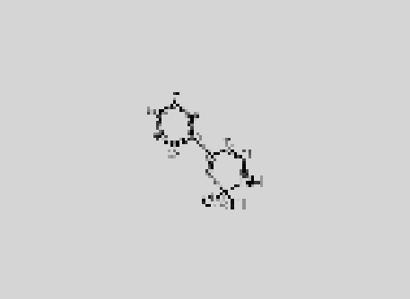 ClC1(Cl)C=C(c2ccncc2)C=CN1